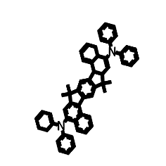 CC1(C)c2cc3c(cc2-c2c1cc(N(C1=CC=CCC1)c1ccccc1)c1ccccc21)C(C)(C)C1C=C(N(c2ccccc2)c2ccccc2)C2CC=CC=C2C31